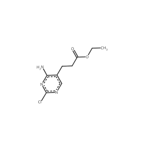 CCOC(=O)CCc1cnc(Cl)nc1N